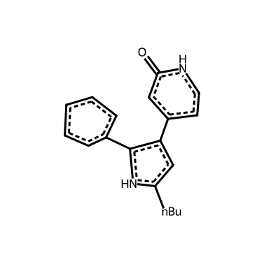 CCCCc1cc(-c2cc[nH]c(=O)c2)c(-c2ccccc2)[nH]1